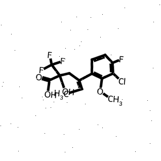 CC=C(CC(O)(C(=O)O)C(F)(F)F)c1ccc(F)c(Cl)c1OC